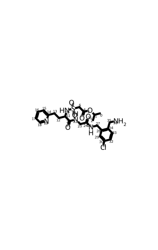 CC(C)OC(=O)CS(=O)(=O)NC(CCc1ccccn1)C(=O)NCC(=O)NCc1cc(Cl)ccc1CN